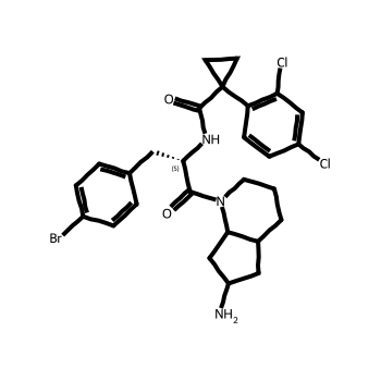 NC1CC2CCCN(C(=O)[C@H](Cc3ccc(Br)cc3)NC(=O)C3(c4ccc(Cl)cc4Cl)CC3)C2C1